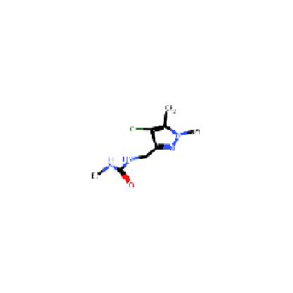 CCNC(=O)NCc1nn(C(C)C)c(C(F)(F)F)c1Cl